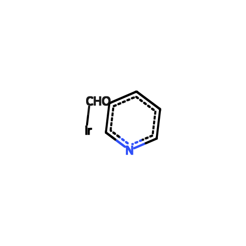 O=[CH][Ir].c1ccncc1